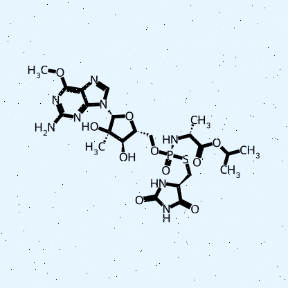 COc1nc(N)nc2c1ncn2[C@@H]1O[C@H](CO[P@@](=O)(N[C@H](C)C(=O)OC(C)C)SC[C@@H]2NC(=O)NC2=O)[C@@H](O)[C@@]1(C)O